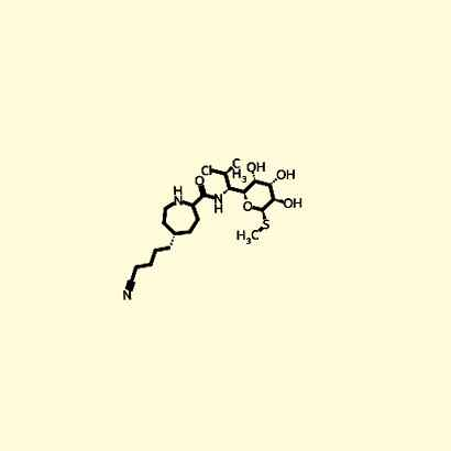 CS[C@H]1O[C@H]([C@H](NC(=O)C2CC[C@H](CCCCC#N)CCN2)[C@H](C)Cl)[C@H](O)[C@H](O)[C@H]1O